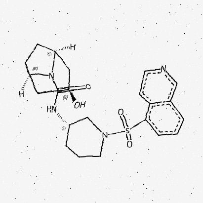 O=C(N[C@H]1CCCN(S(=O)(=O)c2cccc3cnccc23)C1)N1[C@@H]2CC[C@H]1C[C@@H](O)C2